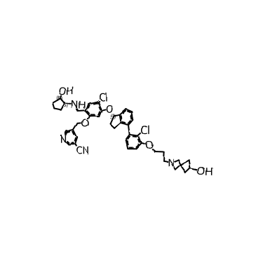 N#Cc1cncc(COc2cc(O[C@H]3CCc4c(-c5cccc(OCCCN6CC7(CC(O)C7)C6)c5Cl)cccc43)c(Cl)cc2CN[C@H]2CCC[C@H]2O)c1